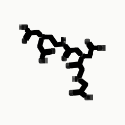 O=C(O)CNCC(=O)N(CC(=O)O)CC(=O)NCCN(CC(=O)O)CC(=O)O